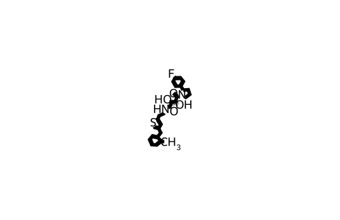 Cc1ccccc1Cc1csc(CCNC(=O)[C@H](O)[C@@H](O)C(=O)N2CCCC2c2ccc(F)cc2)c1